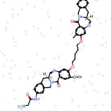 COc1cc2c(cc1OCCCCCOc1cc3c(cc1C)C(=O)N1Cc4ccccc4C[C@H]1C=N3)N=C[C@@H]1Cc3ccc(NC(=O)CN)cc3CN1C2=O